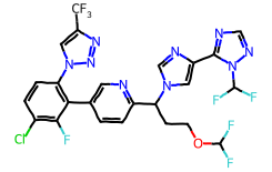 Fc1c(Cl)ccc(-n2cc(C(F)(F)F)nn2)c1-c1ccc(C(CCOC(F)F)n2cnc(-c3ncnn3C(F)F)c2)nc1